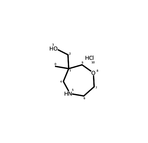 CC1(CO)CNCCOC1.Cl